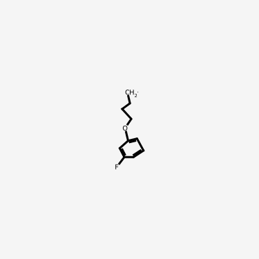 [CH2]CCCOc1cccc(F)c1